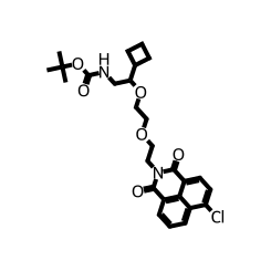 CC(C)(C)OC(=O)NCC(OCCOCCN1C(=O)c2cccc3c(Cl)ccc(c23)C1=O)C1CCC1